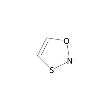 C1=CS[N]O1